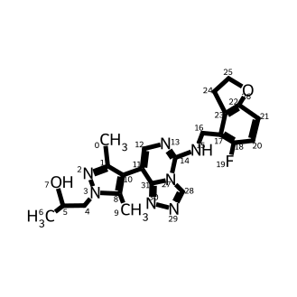 Cc1nn(CC(C)O)c(C)c1-c1cnc(NCc2c(F)ccc3c2CCO3)n2cnnc12